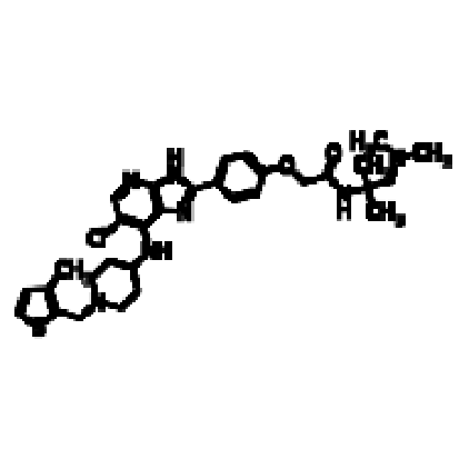 Cc1ccsc1CN1CCC(Nc2c(Cl)cnc3[nH]c(-c4ccc(OCC(=O)NC(C)(C)CN(C)C)cc4)nc23)CC1